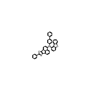 c1ccc(-c2ccc(N(c3ccc4c5c(cccc35)-c3nc(-c5ccccc5)oc3-4)c3cccc4sc5ccccc5c34)cc2)cc1